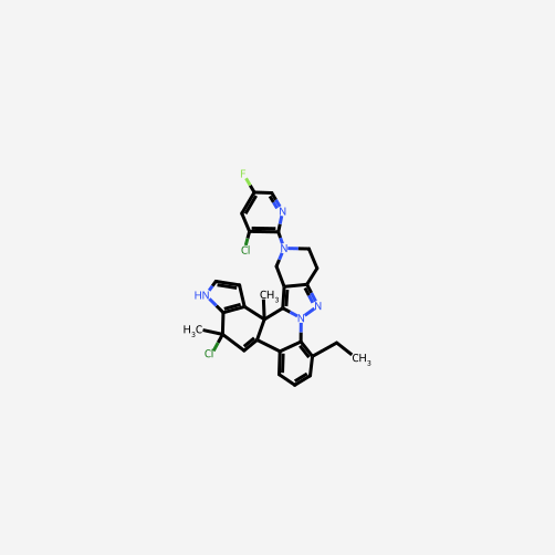 CCc1cccc2c1-n1nc3c(c1C1(C)C2=CC(C)(Cl)c2[nH]ccc21)CN(c1ncc(F)cc1Cl)CC3